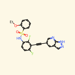 CCOc1ccccc1S(=O)(=O)Nc1ccc(F)c(C#Cc2cnc3[nH]ncc3c2)c1F